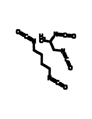 CC(CN=C=O)N=C=O.O=C=NCCCCN=C=O